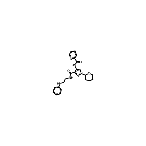 O=C(Nc1cn(C2CCCCO2)nc1C(=O)NCCNc1ccccc1)c1ccccn1